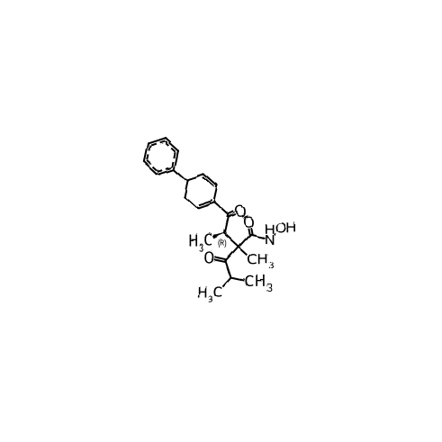 CC(C)C(=O)C(C)(C(=O)NO)[C@@H](C)C(=O)C1=CCC(c2ccccc2)C=C1